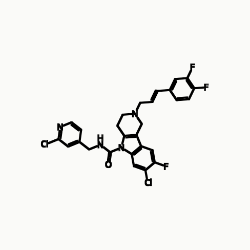 O=C(NCc1ccnc(Cl)c1)n1c2c(c3cc(F)c(Cl)cc31)CN(CC=Cc1ccc(F)c(F)c1)CC2